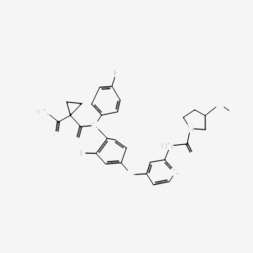 COC1CCN(C(=O)Nc2cc(Oc3ccc(N(C(=O)C4(C(N)=O)CC4)c4ccc(F)cc4)c(F)c3)ccn2)C1